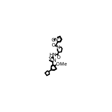 COc1ccc(C2CCCC2)cc1-c1csc(NC(=O)C2CCCN(C(=O)c3cccc[n+]3[O-])C2)n1